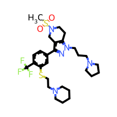 CS(=O)(=O)N1CCc2c(c(-c3ccc(C(F)(F)F)c(SCCN4CCCCC4)c3)nn2CCCN2CCCC2)C1